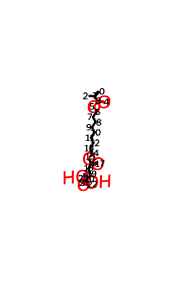 C=C(C)C(=O)OCCCCCCCCCOC(=O)CCP(=O)(O)O